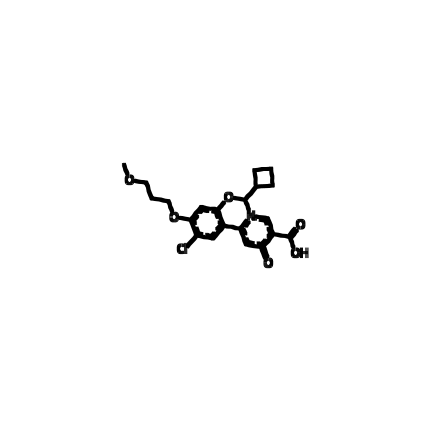 COCCCOc1cc2c(cc1Cl)-c1cc(=O)c(C(=O)O)cn1C(C1CCC1)O2